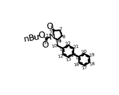 CCCCOC(=O)N1C(=O)CC[C@H]1Cc1ccc(-c2ccccc2)cc1